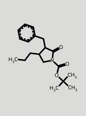 CCCC1CN(C(=O)OC(C)(C)C)C(=O)C1Cc1ccccc1